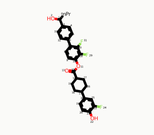 CCCC(O)c1ccc(-c2ccc(OC(=O)C3CCC(c4ccc(O)c(F)c4)CC3)c(F)c2F)cc1